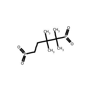 CC(C)(CCP(=O)=O)C(C)(C)P(=O)=O